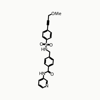 COCC#Cc1ccc(S(=O)(=O)NCc2ccc(C(=O)Nc3cccnc3)cc2)cc1